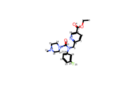 CCOC(=O)c1ccc(CN(C(=O)N2CCN(C)CC2)c2cccc(F)c2)nc1